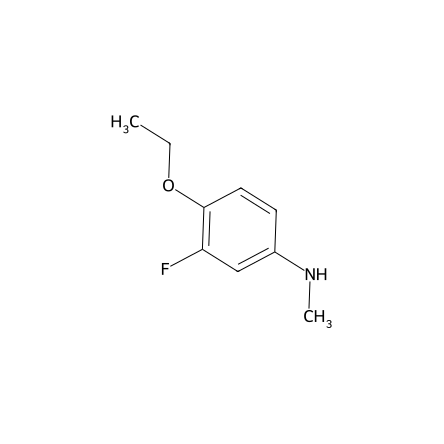 CCOc1ccc(NC)cc1F